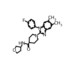 Cc1cc2nc(N3CCC(C(=O)NC4CCOC4)CC3)n(-c3ccc(F)cc3)c2cc1C